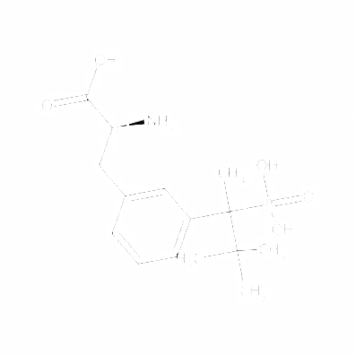 CC(C)(C)C(C)(c1cccc(C[C@H](N)C(=O)O)c1)P(=O)(O)O